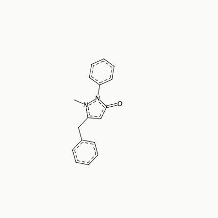 Cn1c(Cc2ccccc2)cc(=O)n1-c1ccccc1